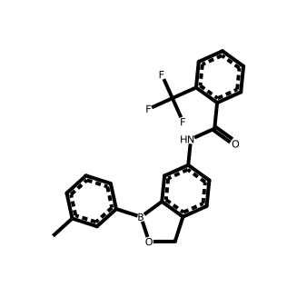 Cc1cccc(B2OCc3ccc(NC(=O)c4ccccc4C(F)(F)F)cc32)c1